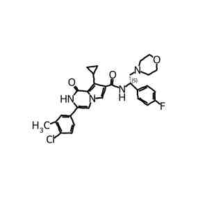 Cc1cc(-c2cn3cc(C(=O)N[C@H](CN4CCOCC4)c4ccc(F)cc4)c(C4CC4)c3c(=O)[nH]2)ccc1Cl